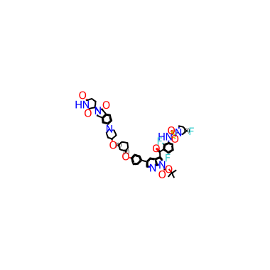 CC(C)(C)OC(=O)n1cc(C(=O)c2c(F)ccc(NS(=O)(=O)N3CC[C@@H](F)C3)c2F)c2cc(-c3ccc(O[C@@H]4CCC[C@H](OC5CCN(c6ccc7c(c6)CN(C6CCC(=O)NC6=O)C7=O)CC5)C4)cc3)cnc21